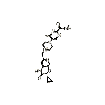 CNC(=O)c1ncc(N2CCN(Cc3cc4c(cn3)O[C@H](C3CC3)C(=O)N4)CC2)c(C)n1